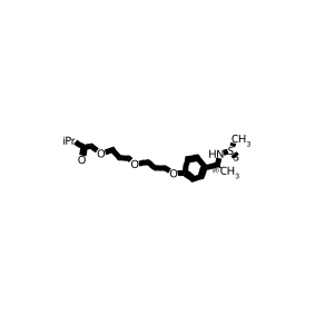 CC(C)C(=O)COCCCOCCCOc1ccc([C@@H](C)NS(C)=S)cc1